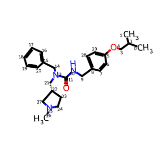 CC(C)COc1ccc(CNC(=O)N(Cc2ccccc2)C[C@@H]2CCN(C)C2)cc1